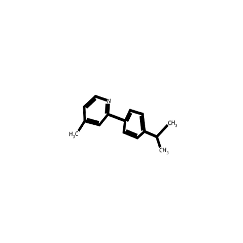 Cc1ccnc(-c2ccc(C(C)C)cc2)c1